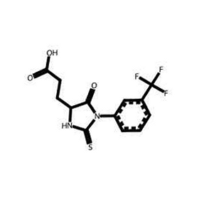 O=C(O)CCC1NC(=S)N(c2cccc(C(F)(F)F)c2)C1=O